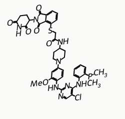 COc1cc(N2CCC(NC(=O)CSc3cccc4c3C(=O)N(C3CCC(=O)NC3=O)C4=O)CC2)ccc1Nc1ncc(Cl)c(Nc2ccccc2P(C)C)n1